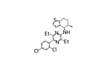 CCc1nc(-c2ccc(Cl)cc2Cl)c(CC)nc1N[C@H]1c2ccsc2CC[C@H]1C